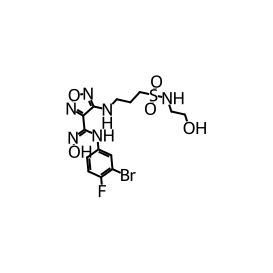 O=S(=O)(CCCNc1nonc1/C(=N/O)Nc1ccc(F)c(Br)c1)NCCO